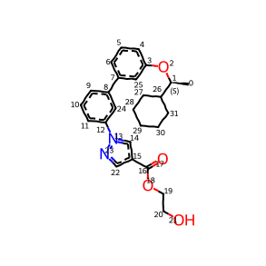 C[C@H](Oc1cccc(-c2cccc(-n3cc(C(=O)OCCO)cn3)c2)c1)C1CCCCC1